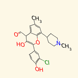 Cc1cc(C2CCN(C)CC2)c2c(c1)C(C=O)C(O)=C(c1ccc(O)c(Cl)c1)O2